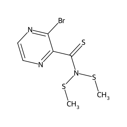 CSN(SC)C(=S)c1nccnc1Br